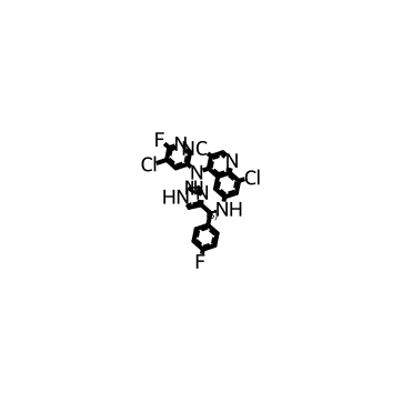 N#Cc1cnc2c(Cl)cc(N[C@@H](c3ccc(F)cc3)c3c[nH]nn3)cc2c1Nc1cnc(F)c(Cl)c1